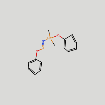 C[PH](C)(N=POc1ccccc1)Oc1ccccc1